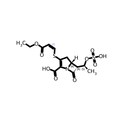 CCOC(=O)/C=C\SC1=C(C(=O)O)N2C(=O)[C@@H]([C@H](C)OS(=O)(=O)O)[C@H]2C1